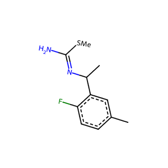 CS/C(N)=N\C(C)c1cc(C)ccc1F